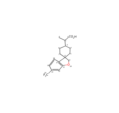 CC(C(=O)O)C1CCC2(CC1)COc1cc(C(F)(F)F)ccc12